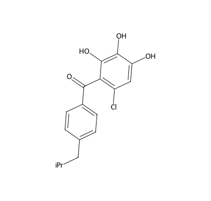 CC(C)Cc1ccc(C(=O)c2c(Cl)cc(O)c(O)c2O)cc1